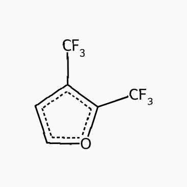 FC(F)(F)c1ccoc1C(F)(F)F